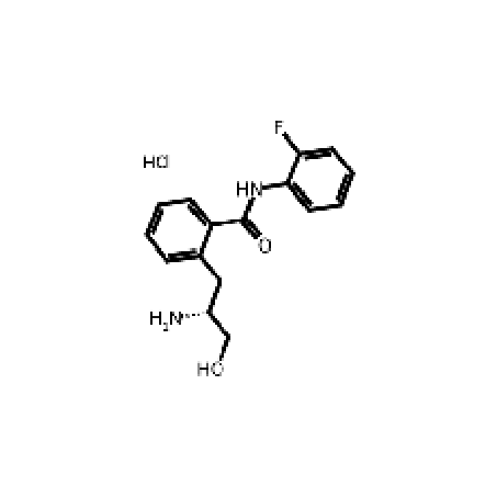 Cl.N[C@@H](CO)Cc1ccccc1C(=O)Nc1ccccc1F